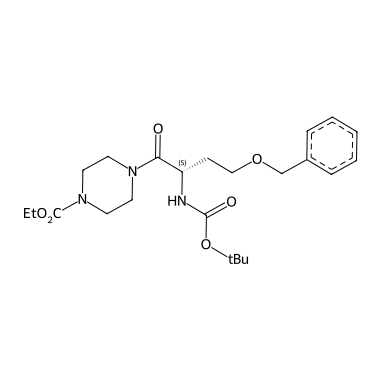 CCOC(=O)N1CCN(C(=O)[C@H](CCOCc2ccccc2)NC(=O)OC(C)(C)C)CC1